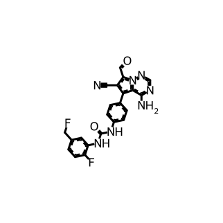 N#Cc1c(-c2ccc(NC(=O)Nc3cc(CF)ccc3F)cc2)c2c(N)ncnn2c1C=O